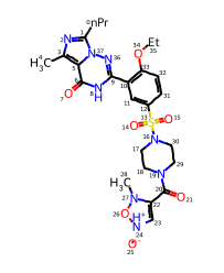 CCCc1nc(C)c2c(=O)[nH]c(-c3cc(S(=O)(=O)N4CCN(C(=O)C5=C[NH+]([O-])ON5C)CC4)ccc3OCC)nn12